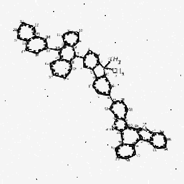 CC1(C)c2ccc(-c3c4ccccc4c(-c4ccc5ccccc5c4)c4ccccc34)cc2-c2ccc(-c3ccc4c(c3)sc3c5ccccc5c5c6ccccc6oc5c43)cc21